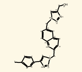 Cc1ccc(-c2cn(Cc3ccc4cc(Cn5cc(CO)nn5)ccc4n3)nn2)cc1